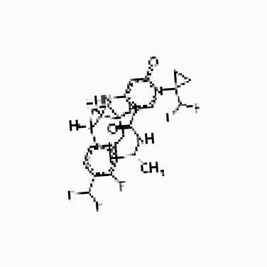 C[C@@H](NC(=O)c1cn(C2(C(F)F)CC2)c(=O)cc1N[C@@H]1[C@@H]2CC[C@H]1CNC2)c1cccc(C(F)F)c1F